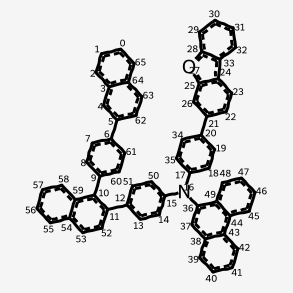 c1ccc2cc(-c3ccc(-c4c(-c5ccc(N(c6ccc(-c7ccc8c(c7)oc7ccccc78)cc6)c6cc7ccccc7c7ccccc67)cc5)ccc5ccccc45)cc3)ccc2c1